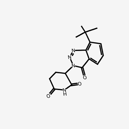 CC(C)(C)c1cccc2c(=O)n(C3CCC(=O)NC3=O)nnc12